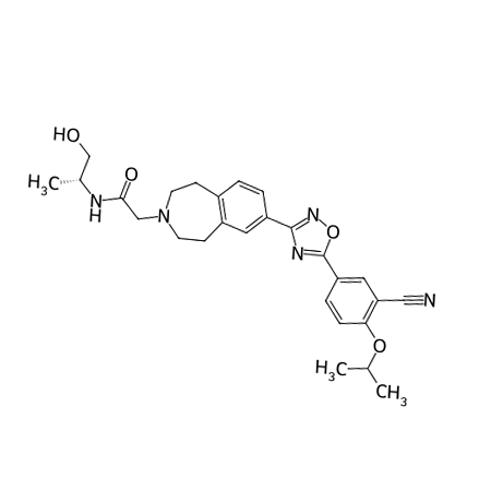 CC(C)Oc1ccc(-c2nc(-c3ccc4c(c3)CCN(CC(=O)N[C@H](C)CO)CC4)no2)cc1C#N